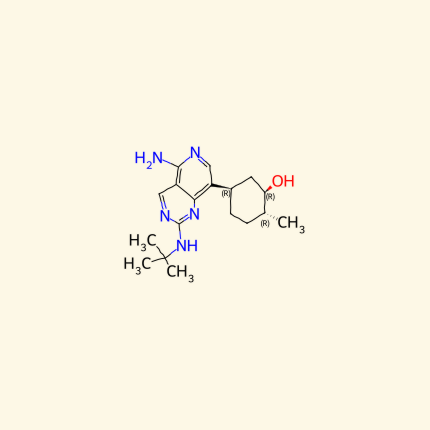 C[C@@H]1CC[C@@H](c2cnc(N)c3cnc(NC(C)(C)C)nc23)C[C@H]1O